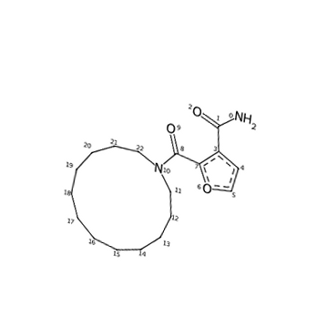 NC(=O)c1ccoc1C(=O)N1CCCCCCCCCCCC1